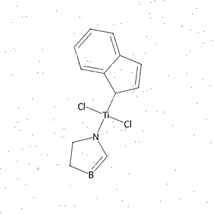 [Cl][Ti]([Cl])([CH]1C=Cc2ccccc21)[N]1C=BCC1